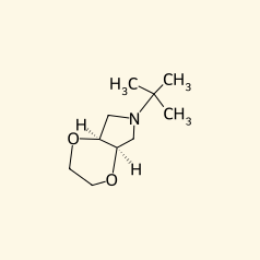 CC(C)(C)N1C[C@@H]2OCCO[C@@H]2C1